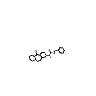 CC(C(=O)OCc1ccccc1)c1ccc2c(=O)c3ccccc3ccc2c1